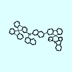 c1ccc2c(c1)-c1ccccc1C21c2ccccc2-c2ccc(N(c3ccc4cc(-c5ccc6c(c5)C5(c7ccccc7-6)c6ccccc6-n6c7ccccc7c7cccc5c76)ccc4c3)c3cccc4ccccc34)cc21